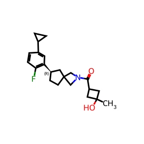 CC1(O)CC(C(=O)N2CC3(CC[C@@H](c4cc(C5CC5)ccc4F)C3)C2)C1